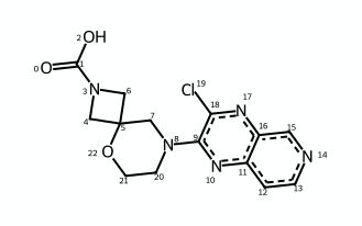 O=C(O)N1CC2(C1)CN(c1nc3ccncc3nc1Cl)CCO2